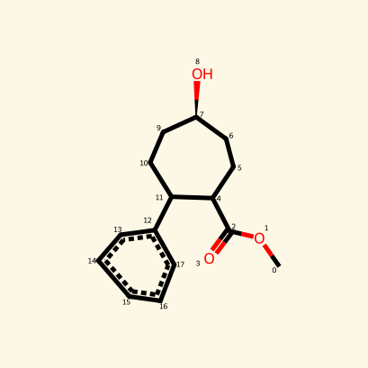 COC(=O)C1CC[C@H](O)CCC1c1ccccc1